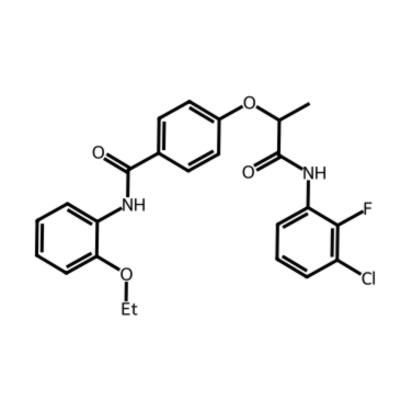 CCOc1ccccc1NC(=O)c1ccc(OC(C)C(=O)Nc2cccc(Cl)c2F)cc1